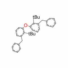 CC(C)(C)c1c(Cc2ccccc2)cccc1Oc1cccc(Cc2ccccc2)c1C(C)(C)C